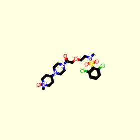 CN(CCOCC(=O)N1CCN(C2CC[N+](C)([O-])CC2)CC1)S(=O)(=O)c1c(Cl)cccc1Cl